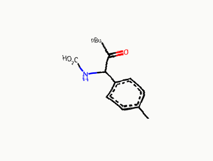 CCCCC(=O)C(NC(=O)O)c1ccc(C)cc1